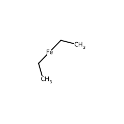 C[CH2][Fe][CH2]C